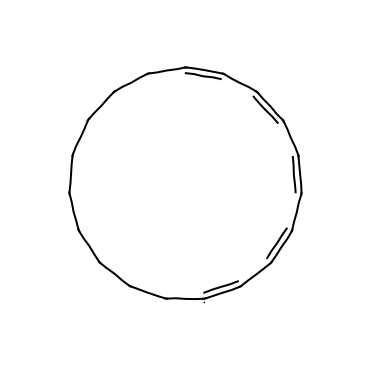 [C]1=C/C=C\C=C/C=C\C=C/CCCCCCCCC\1